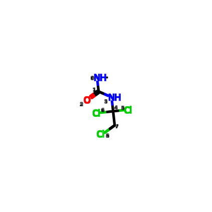 [NH]C(=O)NC(Cl)(Cl)CCl